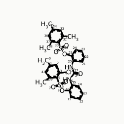 Cc1cc(C)c(S(=O)(=O)Oc2ccccc2NC(=O)Nc2ccccc2OS(=O)(=O)c2c(C)cc(C)cc2C)c(C)c1